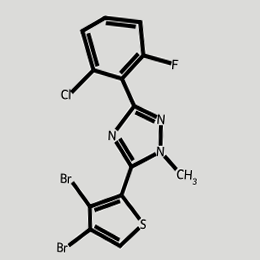 Cn1nc(-c2c(F)cccc2Cl)nc1-c1scc(Br)c1Br